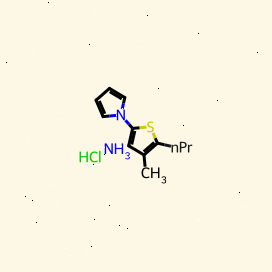 CCCc1sc(-n2cccc2)cc1C.Cl.N